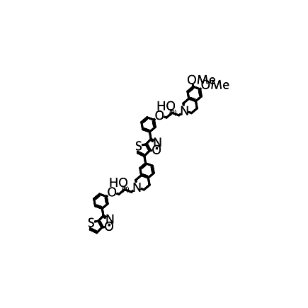 COc1cc2c(cc1OC)CN(C[C@@H](O)COc1cccc(-c3noc4c(-c5ccc6c(c5)CN(C[C@@H](O)COc5cccc(-c7noc8ccsc78)c5)CC6)csc34)c1)CC2